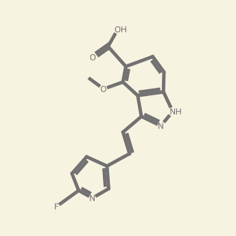 COc1c(C(=O)O)ccc2[nH]nc(C=Cc3ccc(F)nc3)c12